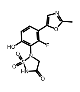 Cc1ncc(-c2ccc(O)c(N3CC(=O)NS3(=O)=O)c2F)o1